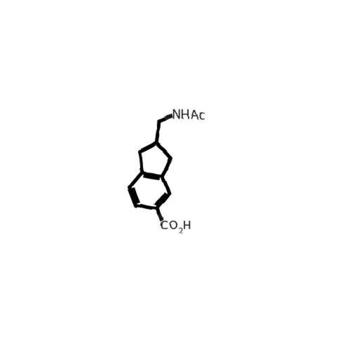 CC(=O)NCC1Cc2ccc(C(=O)O)cc2C1